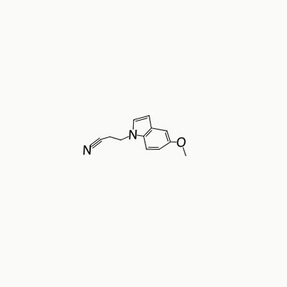 COc1ccc2c(ccn2CCC#N)c1